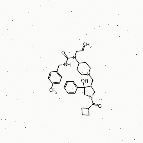 C=CCN(C(=O)NCc1ccc(C(F)(F)F)cc1)C1CCN(C[C@H]2CN(C(=O)C3CCC3)C[C@]2(O)c2ccccc2)CC1